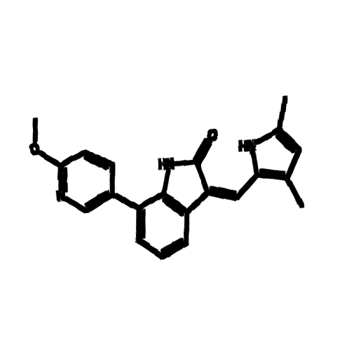 COc1ccc(-c2cccc3c2NC(=O)/C3=C\c2[nH]c(C)cc2C)cn1